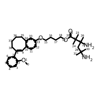 COc1ccccc1/C1=C/c2ccc(OCCCCOC(=O)C(C)(C)C(C)(N)CC(C)(C)N)cc2CCCC1